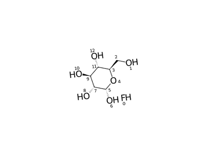 F.OC[C@H]1O[C@H](O)[C@H](O)[C@@H](O)[C@@H]1O